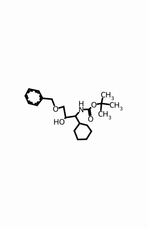 CC(C)(C)OC(=O)NC(C(O)COCc1ccccc1)C1CCCCC1